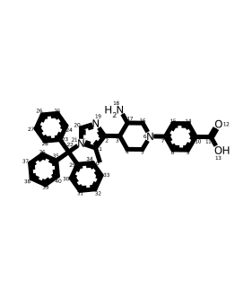 Cc1c(C2CCN(c3ccc(C(=O)O)cc3)CC2N)ncn1C(c1ccccc1)(c1ccccc1)c1ccccc1